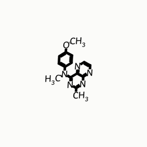 COc1ccc(N(C)c2nc(C)nc3nccnc23)cc1